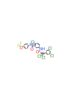 O=C(Nc1ccc(OC(F)F)cc1)c1cc(NC(=O)[C@@H]2[C@@H](c3cc(Cl)cc(Cl)c3)C2(Cl)Cl)ccc1Cl